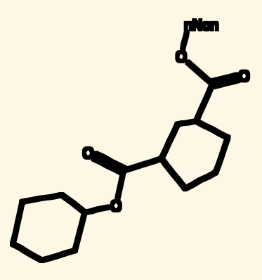 CCCCCCCCCOC(=O)C1CCCC(C(=O)OC2CCCCC2)C1